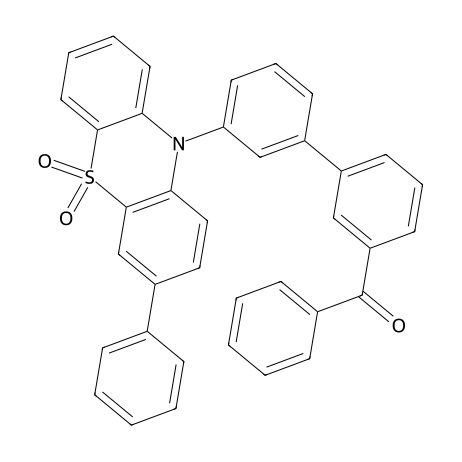 O=C(c1ccccc1)c1cccc(-c2cccc(N3c4ccccc4S(=O)(=O)c4cc(-c5ccccc5)ccc43)c2)c1